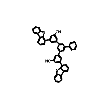 N#Cc1cc(-c2cc(-c3ccccc3)cc(-c3cc(C#N)cc(-c4cccc5c4sc4ccccc45)c3)c2)cc(-c2cccc3c2sc2ccccc23)c1